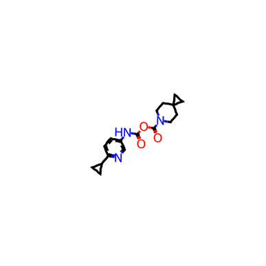 O=C(Nc1ccc(C2CC2)nc1)OC(=O)N1CCC2(CC1)CC2